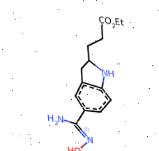 CCOC(=O)CCC1Cc2cc(/C(N)=N/O)ccc2N1